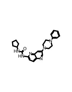 O=C(Nc1ccc2ncc(N3CCN(c4ccccc4)CC3)cc2n1)NC1CCCC1